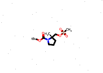 CC(C)(C)OC(=O)N1CCC[C@@]1(C)COS(C)(=O)=O